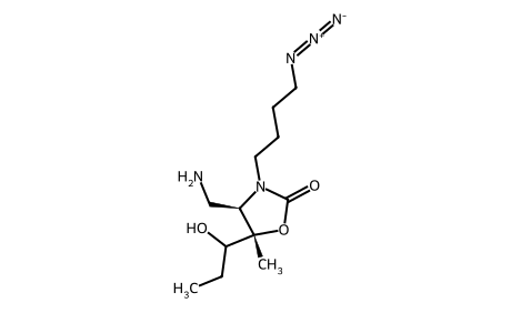 CCC(O)[C@@]1(C)OC(=O)N(CCCCN=[N+]=[N-])[C@@H]1CN